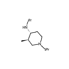 CC(C)N[C@@H]1CCN(C(C)C)C[C@H]1C